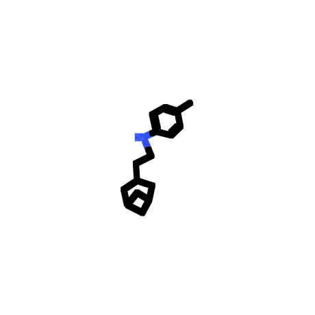 Cc1ccc(NCCC2CC3CC(C2)C3)cc1